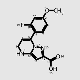 COc1ccc(C2=CCNc3cc(C(=O)O)nn32)c(F)c1